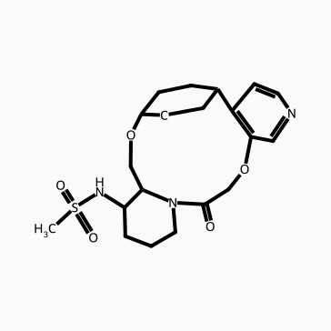 CS(=O)(=O)NC1CCCN2C(=O)COc3cnccc3C3CCC(CC3)OCC12